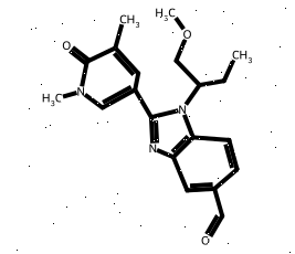 CCC(COC)n1c(-c2cc(C)c(=O)n(C)c2)nc2cc(C=O)ccc21